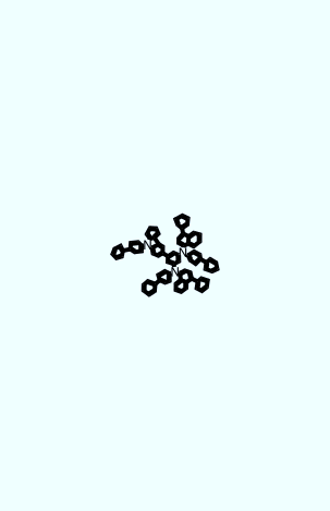 c1ccc(-c2ccc(N(c3cc(-c4ccc5c(c4)c4ccccc4n5-c4ccc(-c5ccccc5)cc4)cc(N(c4ccc(-c5ccccc5)cc4)c4ccc(-c5ccccc5)c5ccccc45)c3)c3ccc(-c4ccccc4)c4ccccc34)cc2)cc1